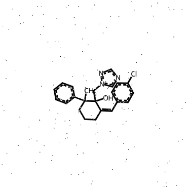 CC1(c2ccccc2)CCC/C(=C/c2ccc(Cl)cc2)C1(O)Cn1cncn1